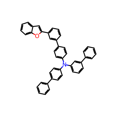 c1ccc(-c2ccc(N(c3ccc(-c4cccc(-c5cc6ccccc6o5)c4)cc3)c3cccc(-c4ccccc4)c3)cc2)cc1